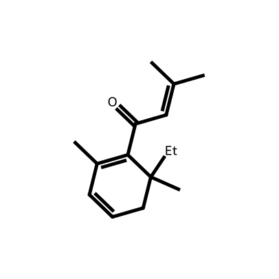 CCC1(C)CC=CC(C)=C1C(=O)C=C(C)C